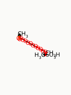 Cc1ccc(S(=O)(=O)OCCOCCOCCOCCOCCOCCOCCOCCOCCOCCOC(C)c2cc(C)ccc2S(=O)(=O)O)cc1